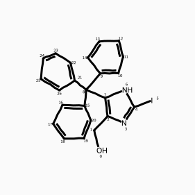 OCc1nc(I)[nH]c1C(c1ccccc1)(c1ccccc1)c1ccccc1